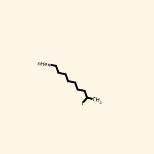 CCCCCCCCCCCCCC(C)I